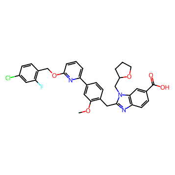 COc1cc(-c2cccc(OCc3ccc(Cl)cc3F)n2)ccc1Cc1nc2ccc(C(=O)O)cc2n1CC1CCCO1